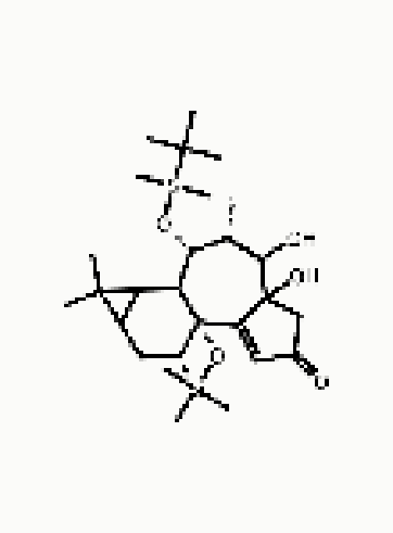 C[C@@H]1C(O)C2(O)CC(=O)C=C2[C@]2(O[Si](C)(C)C)C(C3C(C[C@H]2C)C3(C)C)[C@@H]1O[Si](C)(C)C(C)(C)C